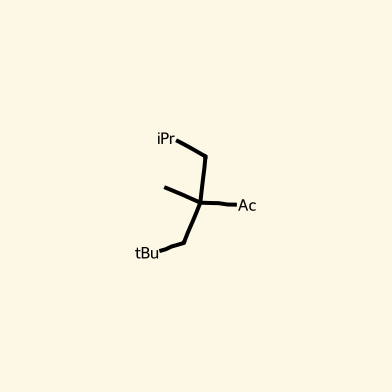 CC(=O)C(C)(CC(C)C)CC(C)(C)C